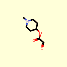 CN1CCC(OC(=O)C=O)CC1